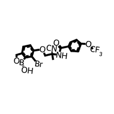 C[C@](C#N)(COc1ccc2c(c1Br)B(O)OC2)NC(=O)c1ccc(OC(F)(F)F)cc1